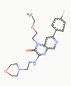 CCOCCn1c(=O)c(NCCN2CCOCC2)nc2cnc(-c3ccc(F)cc3)cc21